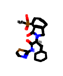 CS(=O)(=O)c1cccc2c1C(=O)N([C@@H](CC1CCCCC1)C(=O)Nc1nccs1)C2